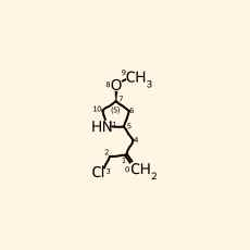 C=C(CCl)CC1C[C@H](OC)CN1